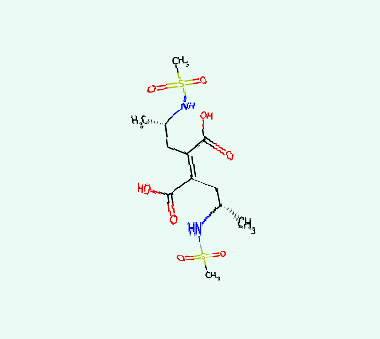 C[C@@H](CC(C(=O)O)=C(C[C@H](C)NS(C)(=O)=O)C(=O)O)NS(C)(=O)=O